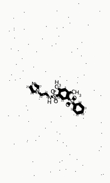 Cc1cc(C)c(S(=O)(=O)c2ccccc2)cc1S(=O)(=O)NCCn1ccnc1